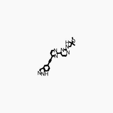 COC(C)(C)CNc1nccc(-c2nccc(C#Cc3ccc4[nH]ncc4c3)n2)n1